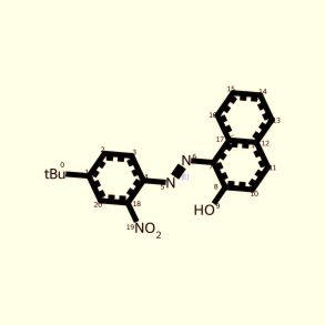 CC(C)(C)c1ccc(/N=N/c2c(O)ccc3ccccc23)c([N+](=O)[O-])c1